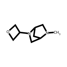 CN1CC2CC1CN2C1COC1